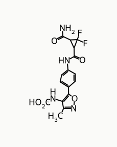 Cc1noc(-c2ccc(NC(=O)C3C(C(N)=O)C3(F)F)cc2)c1NC(=O)O